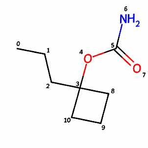 CCCC1(OC(N)=O)CCC1